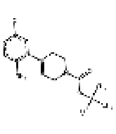 CC(C)(C)OC(=O)N1CC=C(c2cc(Cl)ccc2N)CC1